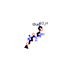 Cn1nc(COC2CC2)cc1C(=O)Nc1cc([C@@H]2C[C@H](N(C(=O)O)C(C)(C)C)CO2)[nH]n1